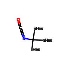 CCCCCCC(CCCCCC)(CCCCCC)N=C=O